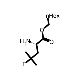 CCCCCCCOC(=O)[C@@H](N)CC(C)(C)F